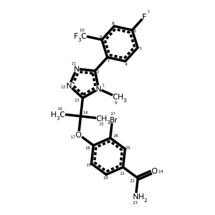 Cn1c(-c2ccc(F)cc2C(F)(F)F)nnc1C(C)(C)Oc1ccc(C(N)=O)cc1Br